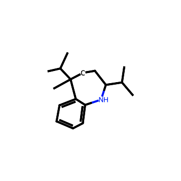 CC(C)C1CCC(C)(C(C)C)c2ccccc2N1